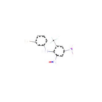 O=[N+]([O-])c1cc([N+](=O)[O-])c(Nc2cccc(Br)c2)c(C(F)(F)F)c1